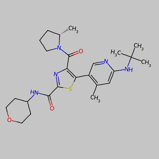 Cc1cc(NC(C)(C)C)ncc1-c1sc(C(=O)NC2CCOCC2)nc1C(=O)N1CCC[C@@H]1C